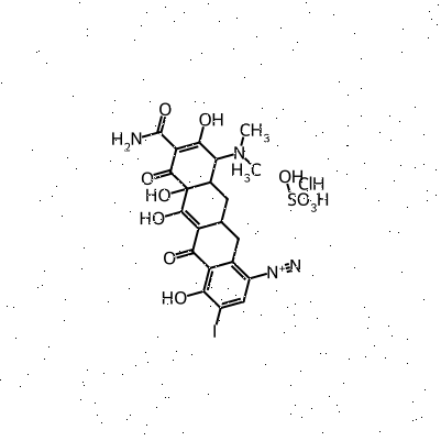 CN(C)C1C(O)=C(C(N)=O)C(=O)C2(O)C(O)=C3C(=O)c4c(O)c(I)cc([N+]#N)c4CC3CC12.Cl.O=S(=O)(O)O